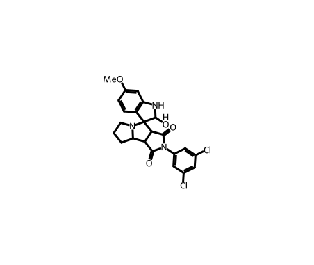 COc1ccc2c(c1)NC(O)C21C2C(=O)N(c3cc(Cl)cc(Cl)c3)C(=O)C2C2CCCN21